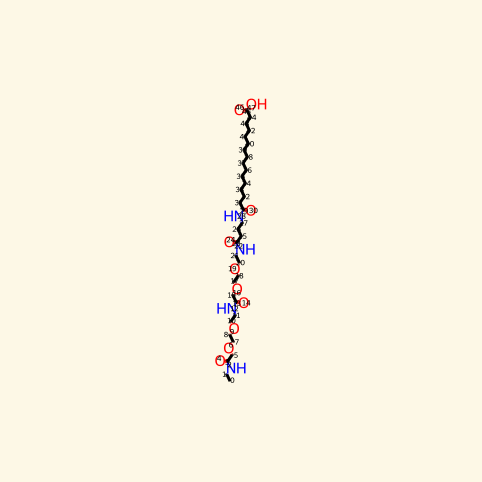 CCNC(=O)COCCOCCNC(=O)COCCOCCNC(=O)CCCNC(=O)CCCCCCCCCCCCCCC(=O)O